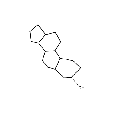 O[C@H]1CCC2C(CCC3C4CCCC4CCC23)C1